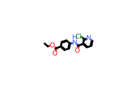 CCOC(=O)c1ccc(NC(=O)c2cccnc2Cl)cc1